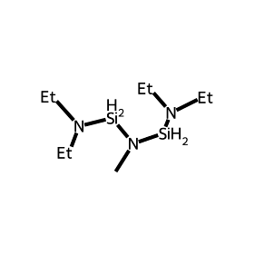 CCN(CC)[SiH2]N(C)[SiH2]N(CC)CC